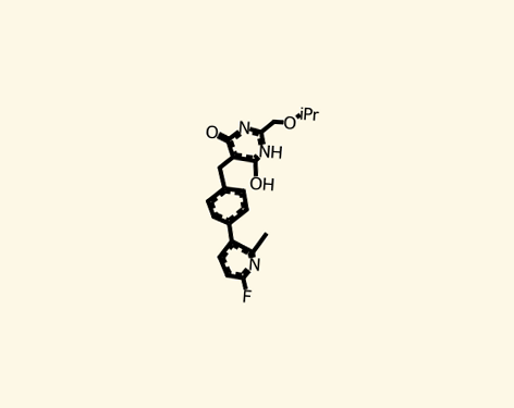 Cc1nc(F)ccc1-c1ccc(Cc2c(O)[nH]c(COC(C)C)nc2=O)cc1